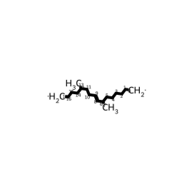 [CH2]CCCCCC(C)/C=C/CCC(C)CCC[CH2]